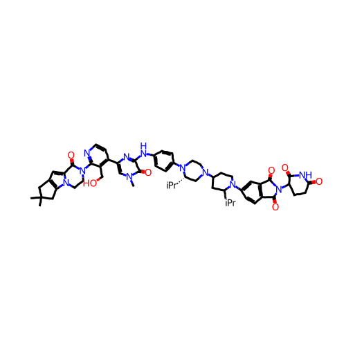 CC(C)C1CC(N2CCN(c3ccc(Nc4nc(-c5ccnc(N6CCn7c(cc8c7CC(C)(C)C8)C6=O)c5CO)cn(C)c4=O)cc3)[C@@H](C(C)C)C2)CCN1c1ccc2c(c1)C(=O)N(C1CCC(=O)NC1=O)C2=O